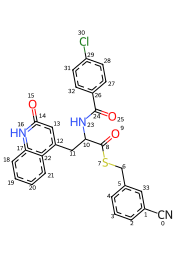 N#Cc1cccc(CSC(=O)C(Cc2cc(=O)[nH]c3ccccc23)NC(=O)c2ccc(Cl)cc2)c1